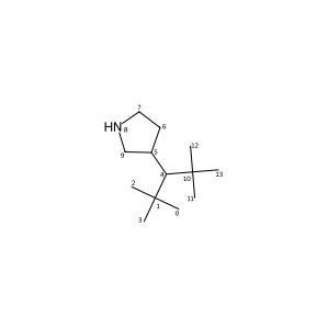 CC(C)(C)C(C1CCNC1)C(C)(C)C